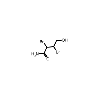 NC(=O)C(Br)C(Br)CO